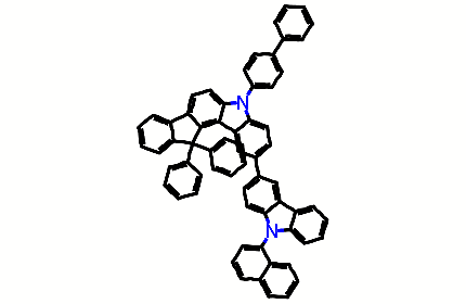 c1ccc(-c2ccc(-n3c4ccc(-c5ccc6c(c5)c5ccccc5n6-c5cccc6ccccc56)cc4c4c5c(ccc43)-c3ccccc3C5(c3ccccc3)c3ccccc3)cc2)cc1